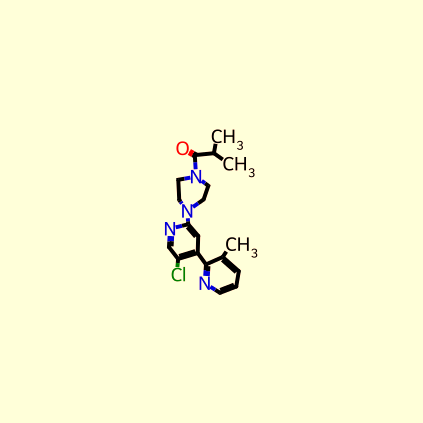 Cc1cccnc1-c1cc(N2CCN(C(=O)C(C)C)CC2)ncc1Cl